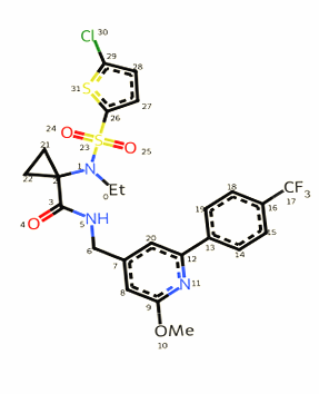 CCN(C1(C(=O)NCc2cc(OC)nc(-c3ccc(C(F)(F)F)cc3)c2)CC1)S(=O)(=O)c1ccc(Cl)s1